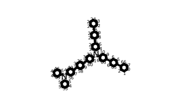 c1ccc(-c2ccc(-c3ccc(N(c4ccc(-c5ccc(-c6ccccc6)cc5)cc4)c4ccc(-c5ccc(-c6ccc(N(c7ccccc7)c7ccccc7)cc6)cc5)cc4)cc3)cc2)cc1